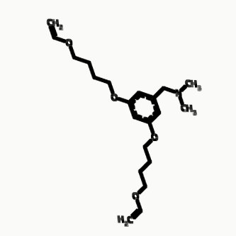 C=COCCCCOc1cc(CN(C)C)cc(OCCCCOC=C)c1